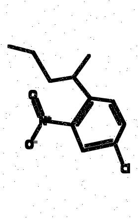 CCCC(C)c1ccc(Cl)cc1[N+](=O)[O-]